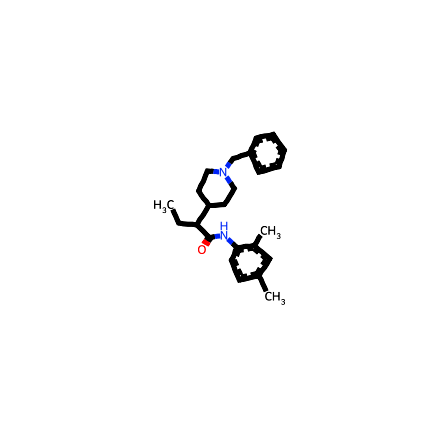 CCC(C(=O)Nc1ccc(C)cc1C)C1CCN(Cc2ccccc2)CC1